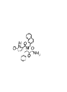 NC(=O)C(=O)C(Cc1ccccc1)N(Cc1ccc2ccccc2c1)C(=O)[C@H]1CCC(=O)N1